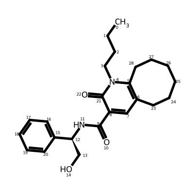 CCCCn1c2c(cc(C(=O)N[C@@H](CO)c3ccccc3)c1=O)CCCCCC2